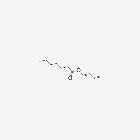 C=CC=COC(=O)CCCCCC